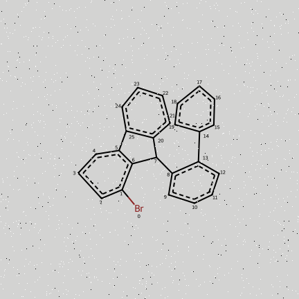 Brc1cccc2c1C(c1ccccc1-c1ccccc1)c1ccccc1-2